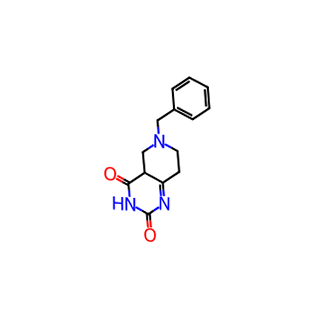 O=C1N=C2CCN(Cc3ccccc3)CC2C(=O)N1